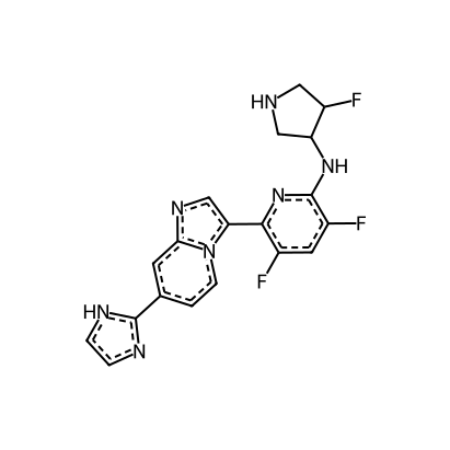 Fc1cc(F)c(-c2cnc3cc(-c4ncc[nH]4)ccn23)nc1NC1CNCC1F